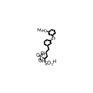 COc1cccc(Oc2cccc(CCCC(P(=O)(O)O)S(=O)(=O)O)c2)c1